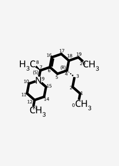 CCCC[C@@H]1CC([C@H](C)N2CCC(C)CC2)=CCC1CC